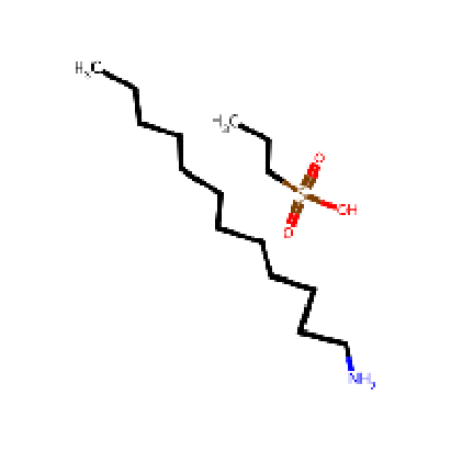 CCCCCCCCCCCCN.CCCS(=O)(=O)O